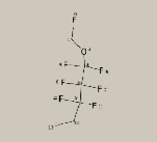 FCOC(F)(F)C(F)(F)C(F)(F)CF